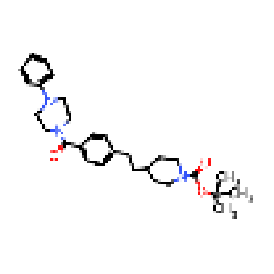 CC(C)(C)OC(=O)N1CCC(CCc2ccc(C(=O)N3CCN(c4ccccc4)CC3)cc2)CC1